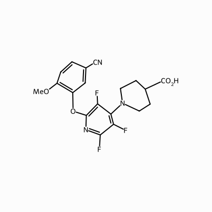 COc1ccc(C#N)cc1Oc1nc(F)c(F)c(N2CCC(C(=O)O)CC2)c1F